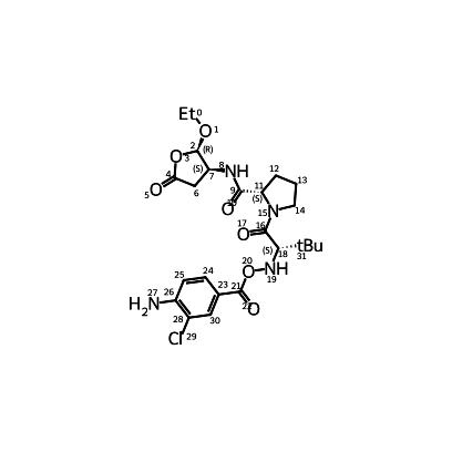 CCO[C@@H]1OC(=O)C[C@@H]1NC(=O)[C@@H]1CCCN1C(=O)[C@@H](NOC(=O)c1ccc(N)c(Cl)c1)C(C)(C)C